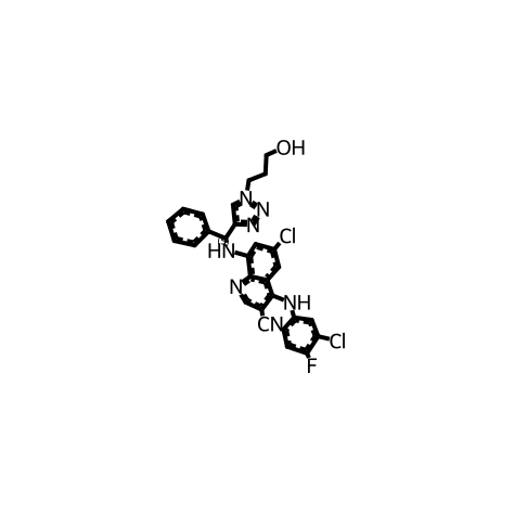 N#Cc1cnc2c(N[C@@H](c3ccccc3)c3cn(CCCO)nn3)cc(Cl)cc2c1Nc1ccc(F)c(Cl)c1